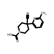 Cc1cccc(C2(C#N)CCN(C(=O)O)CC2)n1